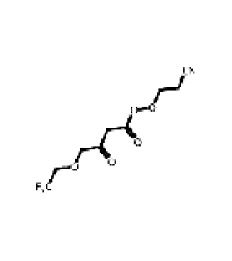 N#CCCOOC(=O)CC(=O)COCC(F)(F)F